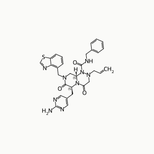 C=CCN1CC(=O)N2[C@@H](Cc3cnc(N)nc3)C(=O)N(Cc3cccc4scnc34)C[C@@H]2N1C(=O)NCc1ccccc1